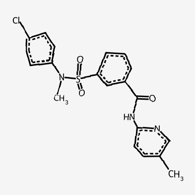 Cc1ccc(NC(=O)c2cccc(S(=O)(=O)N(C)c3ccc(Cl)cc3)c2)nc1